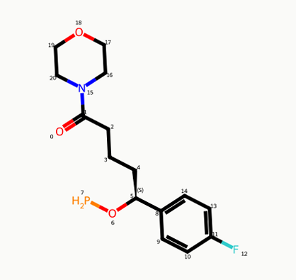 O=C(CCC[C@H](OP)c1ccc(F)cc1)N1CCOCC1